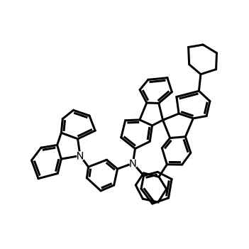 c1ccc(N(c2cccc(-n3c4ccccc4c4ccccc43)c2)c2ccc3c(c2)C2(c4ccccc4-3)c3cc(C4CCCCC4)ccc3-c3ccc(C4CCCCC4)cc32)cc1